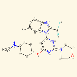 Cc1ccc2nc(C(F)F)n(-c3cc(O[C@H]4CC[C@H](NC(=O)O)CC4)nc(N4CCOCC4)n3)c2c1